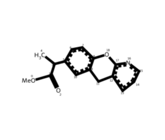 COC(=O)C(C)c1ccc2c(c1)Cc1cccnc1O2